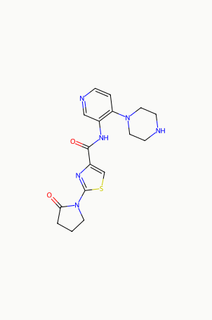 O=C(Nc1cnccc1N1CCNCC1)c1csc(N2CCCC2=O)n1